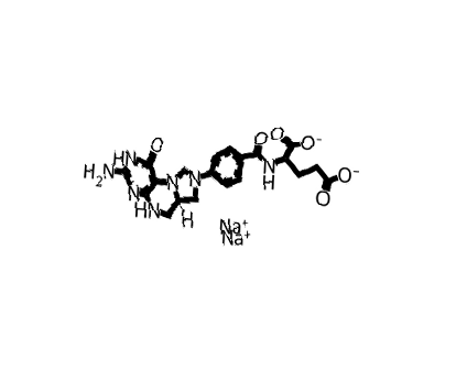 Nc1nc2c(c(=O)[nH]1)N1CN(c3ccc(C(=O)NC(CCC(=O)[O-])C(=O)[O-])cc3)C[C@H]1CN2.[Na+].[Na+]